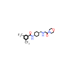 O=C(N[C@H]1CC[C@H](CNCC(=O)N2CCOCC2)CC1)c1cc(C(F)(F)F)cc(C(F)(F)F)c1